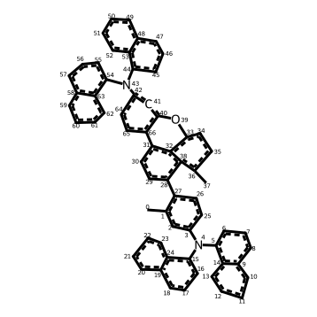 Cc1cc(N(c2cccc3ccccc23)c2cccc3ccccc23)ccc1-c1ccc2c3c(ccc(C)c13)Oc1cc(N(c3cccc4ccccc34)c3cccc4ccccc34)ccc1-2